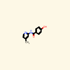 Cc1ccnc(NC(=O)c2ccc(O)cc2)c1